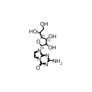 Nc1nc(=O)n2ccn([C@@H]3O[C@H]([C@@H](O)CO)[C@@H](O)[C@H]3O)c2n1